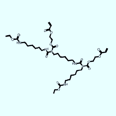 C=CC(=O)OCCOC(=O)N(CCCCCCNC(=O)OCC)C(=O)NCCCCCCN(C(=O)NCCCCCCNC(=O)OCC)C(=O)OCCOC(=O)C=C